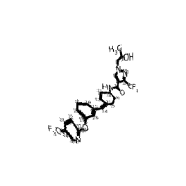 CC(O)Cn1cc(C(=O)NC2CCC(=Cc3cccc(Oc4ccc(C(F)(F)F)cn4)c3)CC2)c(C(F)(F)F)n1